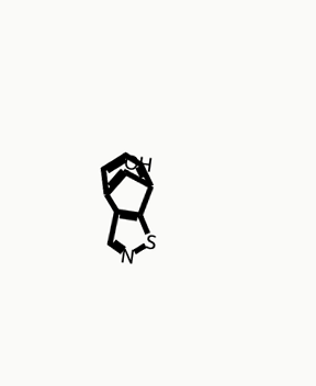 Oc1c2cccc1-c1sncc1-2